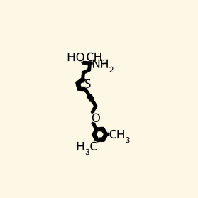 Cc1cc(C)cc(COCCC#Cc2ccc(CCC(C)(N)CO)s2)c1